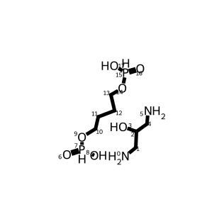 NCC(O)CN.O=[PH](O)OCCCCO[PH](=O)O